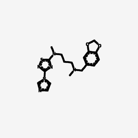 CN(CCCN(C)c1nc(-n2ccnc2)ns1)Cc1ccc2c(c1)OCO2